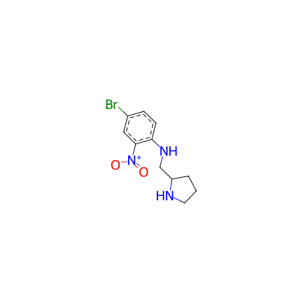 O=[N+]([O-])c1cc(Br)ccc1NCC1CCCN1